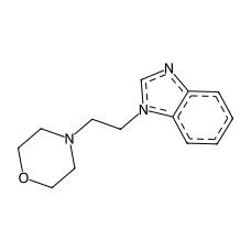 c1ccc2c(c1)ncn2CCN1CCOCC1